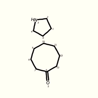 C1CCNC1.O=C1CCCCCCC1